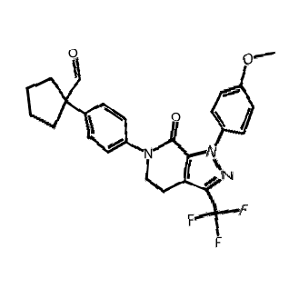 COc1ccc(-n2nc(C(F)(F)F)c3c2C(=O)N(c2ccc(C4(C=O)CCCC4)cc2)CC3)cc1